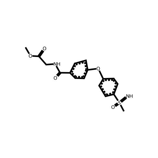 COC(=O)CNC(=O)c1ccc(Oc2ccc(S(C)(=N)=O)cc2)cc1